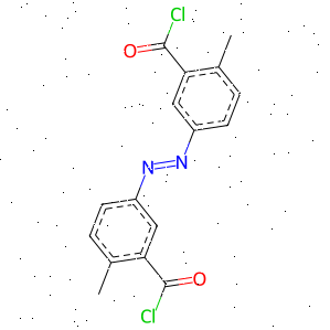 Cc1ccc(N=Nc2ccc(C)c(C(=O)Cl)c2)cc1C(=O)Cl